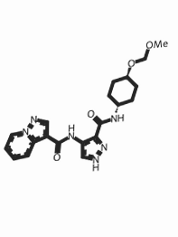 COCO[C@H]1CC[C@H](NC(=O)c2n[nH]cc2NC(=O)c2cnn3ccccc23)CC1